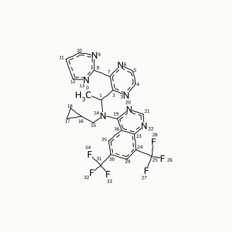 CC(c1nccnc1-c1ncccn1)N(CC1CC1)c1ncnc2c(C(F)(F)F)cc(C(F)(F)F)cc12